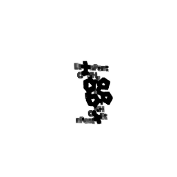 CCCCCC(C)(CC)C(=O)Nc1ccc(F)[c]([Ti]([C]2=CC=CC2)([C]2=CC=CC2)[c]2c(F)ccc(NC(=O)C(C)(CC)CCCCC)c2F)c1F